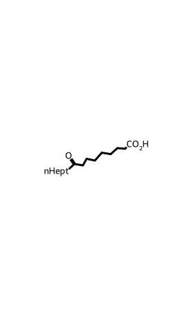 CCCCCCCC(=O)CCCCCCCC(=O)O